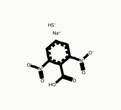 O=C(O)c1c([N+](=O)[O-])cccc1[N+](=O)[O-].[Na+].[SH-]